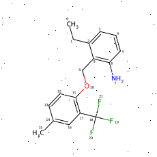 CCc1cccc(N)c1COc1ccc(C)cc1C(F)(F)F